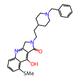 CSc1cccc2nc3c(c(O)c12)C(=O)N(CCC1CCN(Cc2ccccc2)CC1)C3